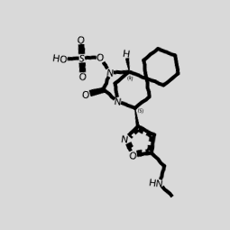 CNCc1cc([C@@H]2CC3(CCCCC3)[C@@H]3CN2C(=O)N3OS(=O)(=O)O)no1